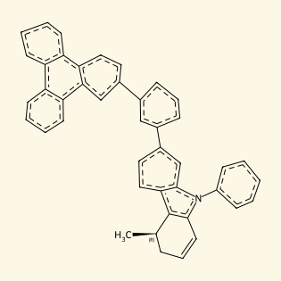 C[C@@H]1CC=Cc2c1c1ccc(-c3cccc(-c4ccc5c6ccccc6c6ccccc6c5c4)c3)cc1n2-c1ccccc1